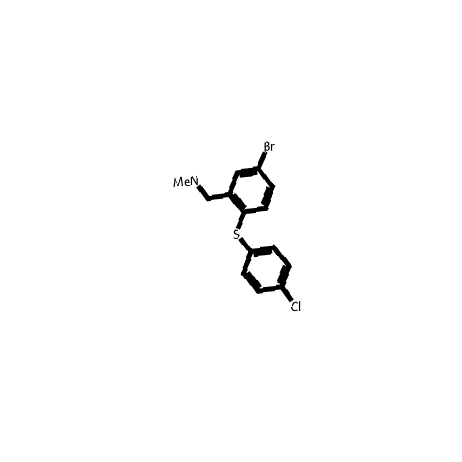 CNCc1cc(Br)ccc1Sc1ccc(Cl)cc1